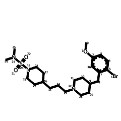 COc1ccc(Br)c(CC2CCN(CCCC3CCN(S(=O)(=O)N(C)C)CC3)CC2)c1